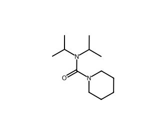 CC(C)N(C(=O)N1CCCCC1)C(C)C